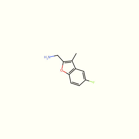 Cc1c(CN)oc2ccc(F)cc12